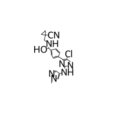 Cn1cc(Nc2ncc(Cl)c(-c3ccc(C(O)NCC4(C#N)CC4)cc3)n2)cn1